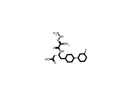 NN/N=C(\N)C(=O)N[C@@H](CC(=O)O)CC1CCC([C@@H]2CCC[C@H](F)C2)CC1